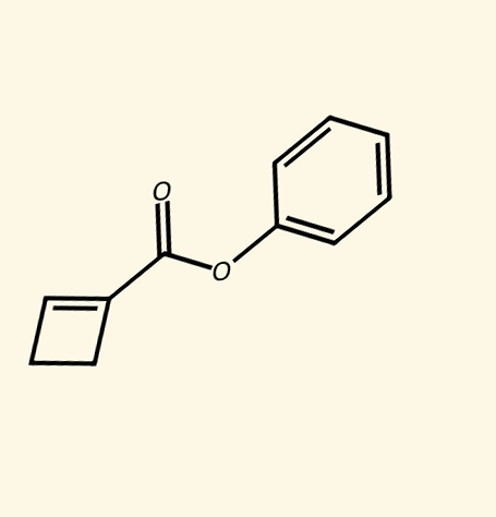 O=C(Oc1ccccc1)C1=CCC1